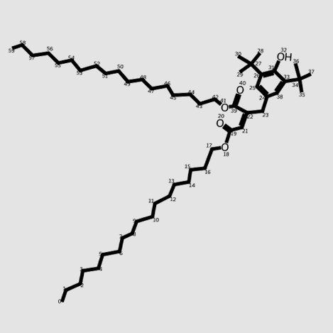 CCCCCCCCCCCCCCCCCCOC(=O)C=C(Cc1cc(C(C)(C)C)c(O)c(C(C)(C)C)c1)C(=O)OCCCCCCCCCCCCCCCCCC